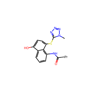 CC(C)C(=O)Nc1cccc2c(O)ccc(Sc3nnnn3C)c12